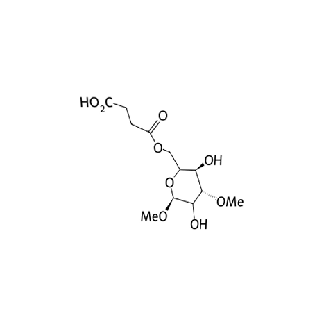 CO[C@H]1OC(COC(=O)CCC(=O)O)[C@@H](O)[C@H](OC)C1O